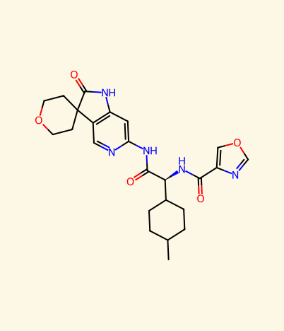 CC1CCC([C@H](NC(=O)c2cocn2)C(=O)Nc2cc3c(cn2)C2(CCOCC2)C(=O)N3)CC1